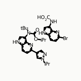 CC(C)OC(=O)N(c1c[nH]c2ccc(-c3cnn(C(C)C)c3)nc12)C(C)(C)C.O=C(O)Nc1c[nH]c2ccc(Br)nc12